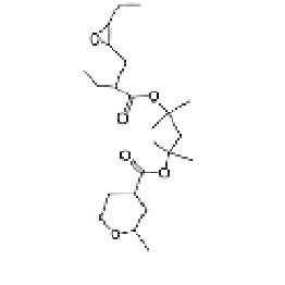 CCC(CC1OC1CC)C(=O)OC(C)(C)CC(C)(C)OC(=O)C1CCOC(C)C1